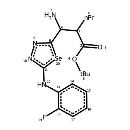 CCCC(C(=O)OC(C)(C)C)C(N)c1nnc(Nc2ccccc2F)[se]1